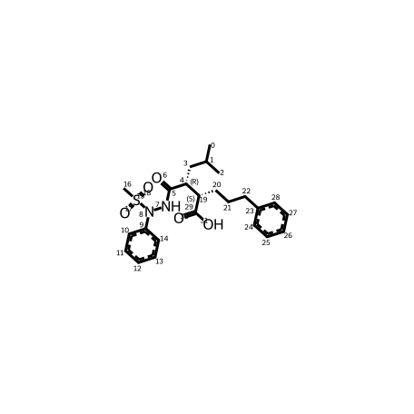 CC(C)C[C@@H](C(=O)NN(c1ccccc1)S(C)(=O)=O)[C@H](CCCc1ccccc1)C(=O)O